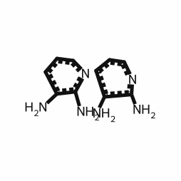 Nc1cccnc1N.Nc1cccnc1N